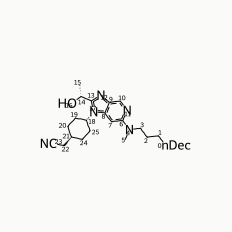 CCCCCCCCCCCCCN(C)c1cc2c(cn1)nc([C@@H](C)O)n2[C@H]1CC[C@H](CC#N)CC1